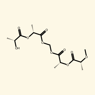 CO[C@H](C)C(=O)O[C@H](C)C(=O)OCOC(=O)[C@@H](C)OC(=O)[C@@H](C)O